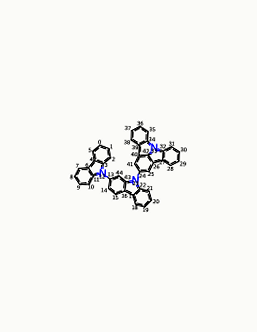 c1ccc2c(c1)c1ccccc1n2-c1ccc2c3ccccc3n(-c3cc4c5ccccc5n5c6ccccc6c(c3)c45)c2c1